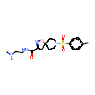 Cc1ccc(S(=O)(=O)N2CCC3(CC2)CC(C(=O)NCCN(C)C)=NO3)cc1